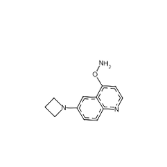 NOc1ccnc2ccc(N3CCC3)cc12